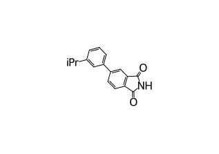 CC(C)c1cccc(-c2ccc3c(c2)C(=O)NC3=O)c1